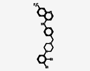 CCc1cccc(N2CCN(Cc3ccc(Nc4ccnc5cc(C(F)(F)F)ccc45)cc3)CC2)c1CC